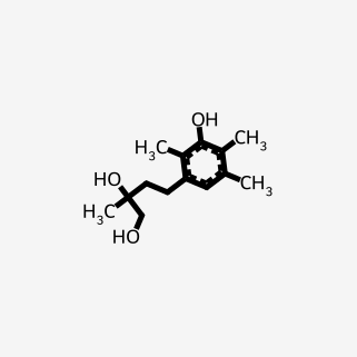 Cc1cc(CCC(C)(O)CO)c(C)c(O)c1C